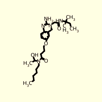 CCCCCCN(C(=O)CCCOc1ccc2c(c1)CN(CC(=O)NC(C)(C)CC)C(N)=N2)C(C)O